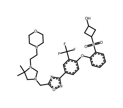 CC1(C)CN(Cc2nc(-c3ccc(Oc4ccccc4S(=O)(=O)C4CC(O)C4)c(C(F)(F)F)c3)no2)CN1CCN1CCOCC1